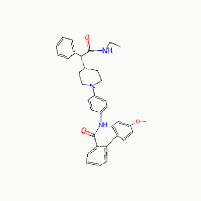 CCNC(=O)C(c1ccccc1)C1CCN(c2ccc(NC(=O)c3ccccc3-c3ccc(OC)cc3)cc2)CC1